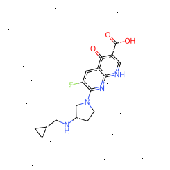 O=C(O)c1c[nH]c2nc(N3CCC(NCC4CC4)C3)c(F)cc2c1=O